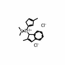 CC1=CC[C]([Zr+2]([CH]2C(C)=Cc3ccccc32)=[Si](C)C)=C1.[Cl-].[Cl-]